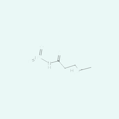 C[SiH2]CCC(=O)N[SH](=O)=O